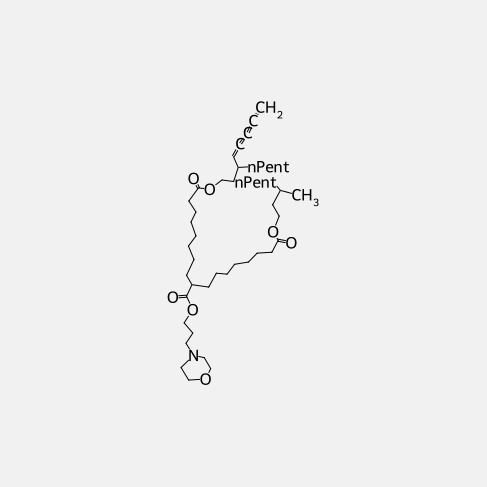 C=C=C=C=CC(CCCCC)CCOC(=O)CCCCCCCC(CCCCCCCC(=O)OCCC(C)CCCCC)C(=O)OCCCN1CCOCC1